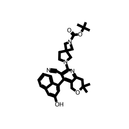 CC(C)(C)OC(=O)N1CC2(CCN(c3nc4c(c(-c5cc(O)cc6ccccc56)c3C#N)COC(C)(C)C4)C2)C1